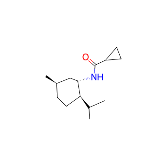 CC(C)[C@H]1CC[C@@H](C)C[C@@H]1NC(=O)C1CC1